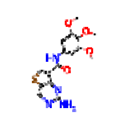 COc1cc(NC(=O)c2csc3cnc(N)nc23)cc(OC)c1OC